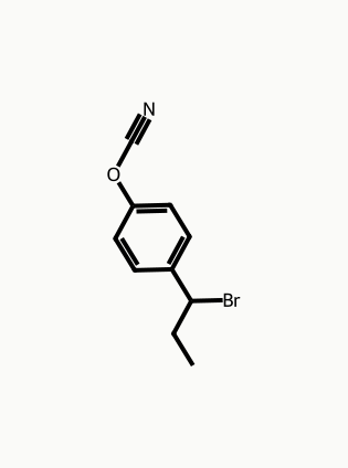 CCC(Br)c1ccc(OC#N)cc1